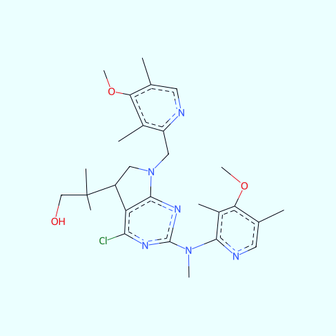 COc1c(C)cnc(CN2CC(C(C)(C)CO)c3c(Cl)nc(N(C)c4ncc(C)c(OC)c4C)nc32)c1C